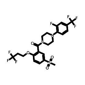 CS(=O)(=O)c1ccc(OCCC(F)(F)F)c(C(=O)N2CCN(c3ccc(C(F)(F)F)cc3F)CC2)c1